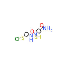 NC(=O)c1ccc(N(S)C(=O)Nc2cccc(SCCl)c2)cc1